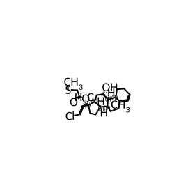 CSCC(=O)O[C@]1(C=CCl)CC[C@H]2[C@@H]3CCC4=C=CCC[C@]4(C)[C@H]3[C@@H](O)C[C@@]21C